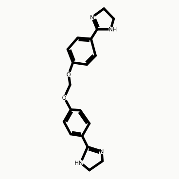 c1cc(C2=NCCN2)ccc1OCOc1ccc(C2=NCCN2)cc1